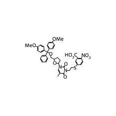 COc1ccc(C(OCC2CCC(n3cc(C)c(=O)n(CCSc4ccc([N+](=O)[O-])c(C(=O)O)c4)c3=O)O2)(c2ccccc2)c2ccc(OC)cc2)cc1